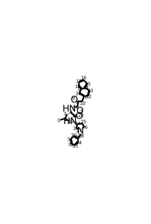 CC(C)C[C@H](NC(=O)C(=O)Cc1ccc2ccccc2c1)C(=O)N[C@H]1CCN(Cc2ccccc2)C1